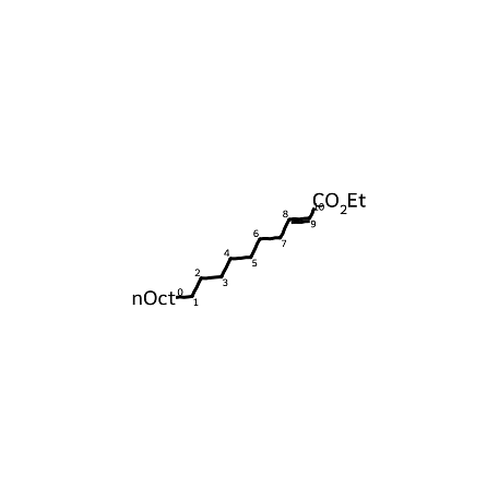 CCCCCCCCCCCCCCC/C=C/C(=O)OCC